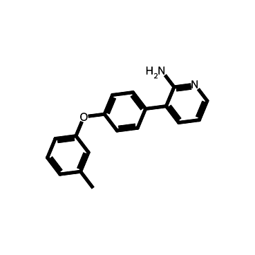 Cc1cccc(Oc2ccc(-c3cccnc3N)cc2)c1